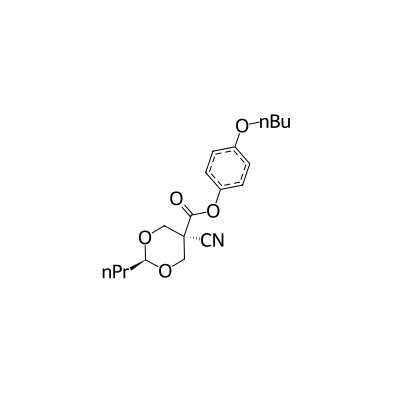 CCCCOc1ccc(OC(=O)[C@]2(C#N)CO[C@H](CCC)OC2)cc1